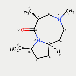 C[C@H]1CN(C)CC[C@H]2CC[C@@H](C(=O)O)N2C1=O